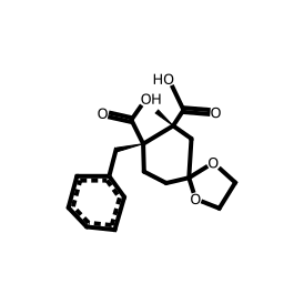 C[C@@]1(C(=O)O)CC2(CC[C@]1(Cc1ccccc1)C(=O)O)OCCO2